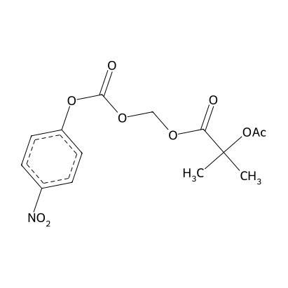 CC(=O)OC(C)(C)C(=O)OCOC(=O)Oc1ccc([N+](=O)[O-])cc1